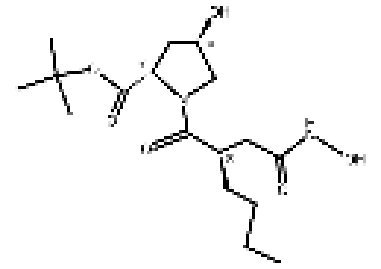 CCCC[C@H](CC(=O)NO)C(=O)N1C[C@H](O)C[C@H]1C(=O)OC(C)(C)C